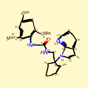 COc1cc(OC)c(NC(=O)NCC2(n3ccc4cccnc43)CCCC2)c(OC)c1